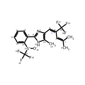 CC(C)=C/C(=C\c1nc(-c2ccccc2[S+]([O-])C(F)(F)F)[nH]c1C)C(F)(F)F